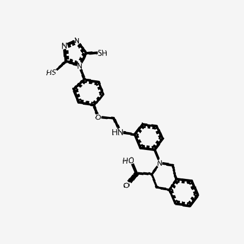 O=C(O)C1Cc2ccccc2CN1c1cccc(NCOc2ccc(-n3c(S)nnc3S)cc2)c1